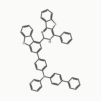 c1ccc(C2=c3sc4ccccc4c3=NC(c3cc(-c4ccc(N(c5ccccc5)c5ccc(-c6ccccc6)cc5)cc4)cc4oc5ccccc5c34)N2)cc1